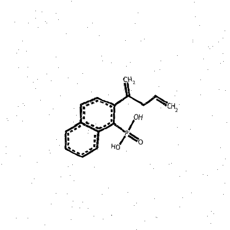 C=CCC(=C)c1ccc2ccccc2c1P(=O)(O)O